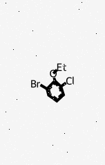 CCOc1c(Cl)cccc1Br